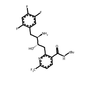 CC(C)(C)NC(=O)c1ccc(C(F)(F)F)nc1C[C@H](O)[C@H](N)Cc1cc(F)c(F)cc1F